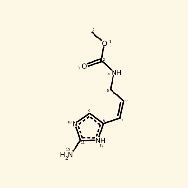 COC(=O)NC/C=C\c1cnc(N)[nH]1